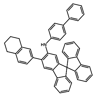 c1ccc(-c2ccc(Nc3cc4c(cc3-c3ccc5c(c3)CCCC5)-c3ccccc3C43c4ccccc4-c4ccccc43)cc2)cc1